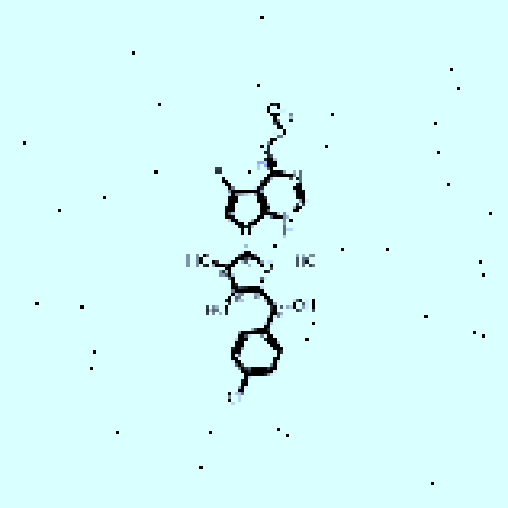 CO/N=c1\nc[nH]c2c1c(F)cn2[C@@H]1O[C@H]([C@H](O)c2ccc(Cl)cc2)[C@@H](O)[C@H]1O.Cl